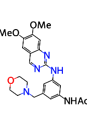 COc1cc2cnc(Nc3cc(CN4CCOCC4)cc(NC(C)=O)c3)nc2cc1OC